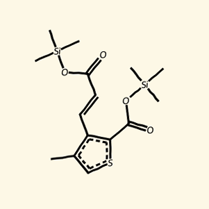 Cc1csc(C(=O)O[Si](C)(C)C)c1/C=C/C(=O)O[Si](C)(C)C